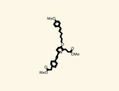 COC(=O)CCc1nc(C#Cc2ccc(CC(=O)OC)cc2)ccc1OCCCC/C=C/c1ccc(OC)cc1